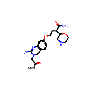 CNC(=O)CN1Cc2ccc(OCCC(C(N)=O)C3CNCCO3)cc2N=C1N